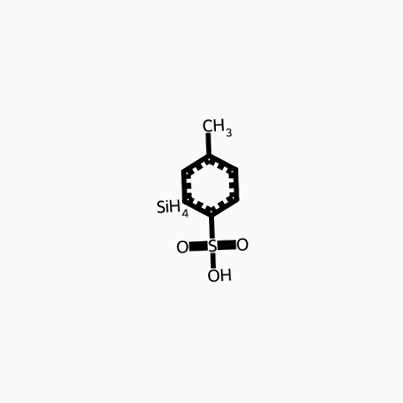 Cc1ccc(S(=O)(=O)O)cc1.[SiH4]